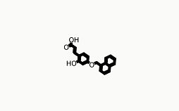 O=C(O)C=Cc1ccc(OCc2cccc3ccccc23)cc1O